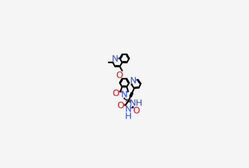 Cc1cc(COc2ccc3c(c2)C(=O)N(C[C@@]2(C#Cc4cccnc4)NC(=O)NC2=O)C3)c2ccccc2n1